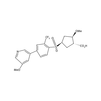 COc1cncc(-c2ccc(S(=O)(=O)[C@H]3C[C@@H](OC)[C@H](C(=O)O)C3)c(C(F)(F)F)c2)c1